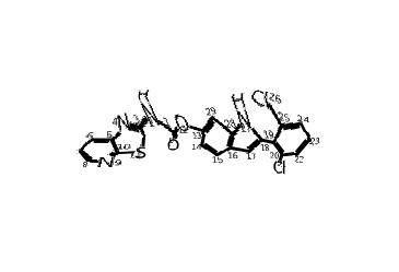 O=C(Nc1nc2cccnc2s1)Oc1ccc2cc(-c3c(Cl)cccc3Cl)[nH]c2c1